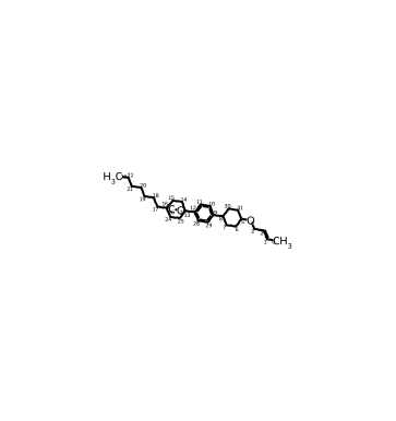 C/C=C/COC1CCC(c2ccc(C34CCC(CCCCCCC)(CC3)CC4)cc2)CC1